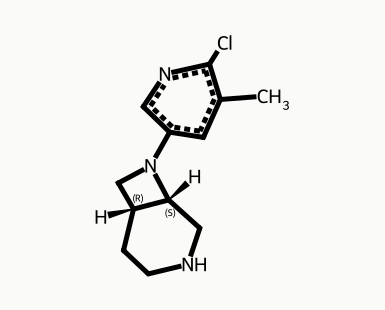 Cc1cc(N2C[C@H]3CCNC[C@H]32)cnc1Cl